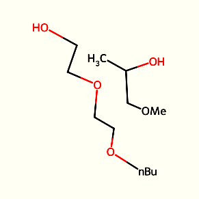 CCCCOCCOCCO.COCC(C)O